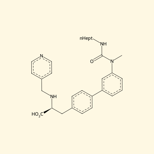 CCCCCCCNC(=O)N(C)c1cccc(-c2ccc(C[C@H](NCc3ccncc3)C(=O)O)cc2)c1